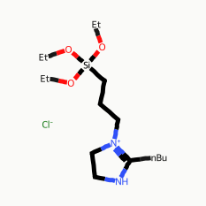 CCCCC1=[N+](CCC[Si](OCC)(OCC)OCC)CCN1.[Cl-]